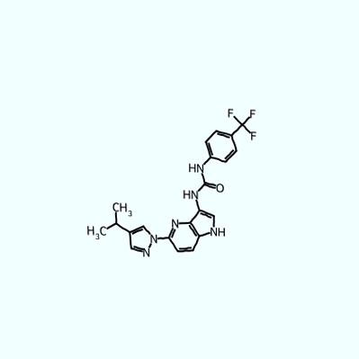 CC(C)c1cnn(-c2ccc3[nH]cc(NC(=O)Nc4ccc(C(F)(F)F)cc4)c3n2)c1